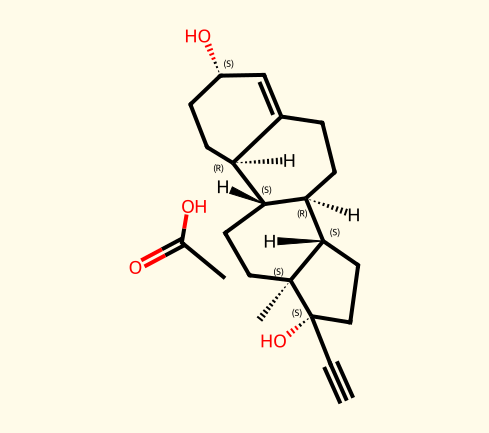 C#C[C@]1(O)CC[C@H]2[C@@H]3CCC4=C[C@@H](O)CC[C@@H]4[C@H]3CC[C@@]21C.CC(=O)O